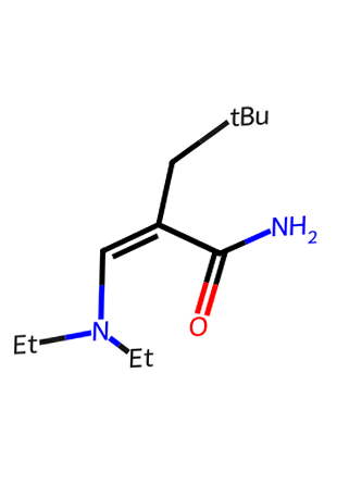 CCN(C=C(CC(C)(C)C)C(N)=O)CC